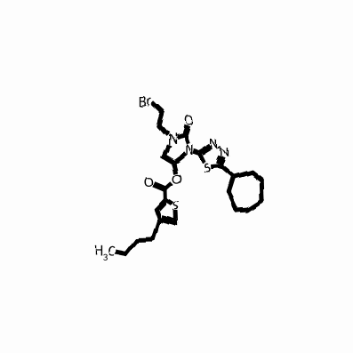 CCCCc1csc(C(=O)OC2CN(CCBr)C(=O)N2c2nnc(C3CCCCCC3)s2)c1